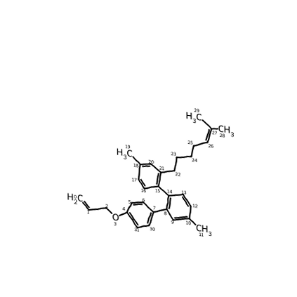 C=CCOc1ccc(-c2cc(C)ccc2-c2ccc(C)cc2CCCCC=C(C)C)cc1